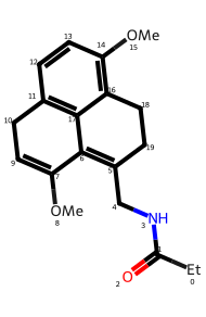 CCC(=O)NCC1=C2C(OC)=CCc3ccc(OC)c(c32)CC1